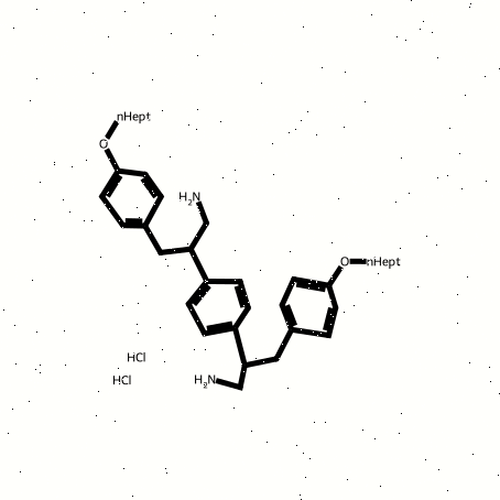 CCCCCCCOc1ccc(CC(CN)c2ccc(C(CN)Cc3ccc(OCCCCCCC)cc3)cc2)cc1.Cl.Cl